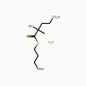 CCCCCCCCCCCCSC(=S)C(C)(C#N)CCC(=O)O.S